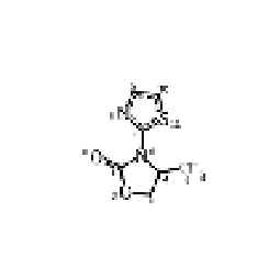 O=C1OCC(C(F)(F)F)N1c1nccs1